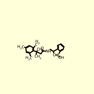 Cc1cc(C)c(C(C)(C)CC(=O)NCC2OB(O)c3ccccc32)c(C)c1